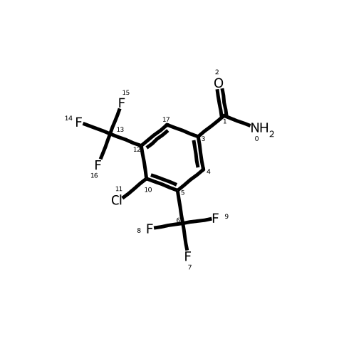 NC(=O)c1cc(C(F)(F)F)c(Cl)c(C(F)(F)F)c1